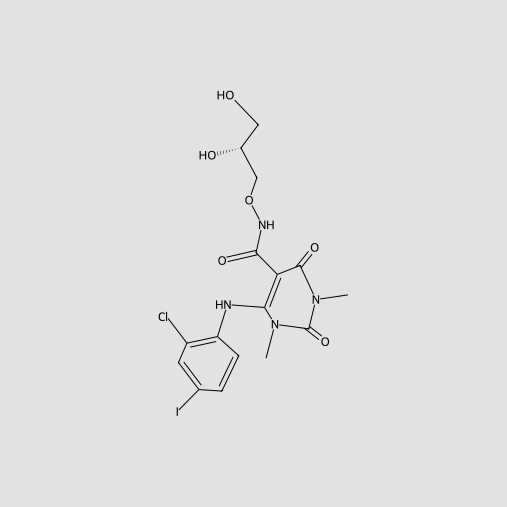 Cn1c(Nc2ccc(I)cc2Cl)c(C(=O)NOC[C@H](O)CO)c(=O)n(C)c1=O